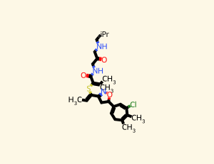 C/C=C(\SC(C(=O)NCC(=O)CNCC(C)C)=C(C)C)C1=NOC(C2=CCC(C)=C(C)C(Cl)=C2)C1